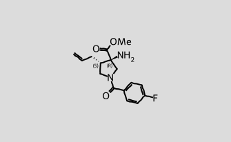 C=CC[C@H]1CN(C(=O)c2ccc(F)cc2)C[C@@]1(N)C(=O)OC